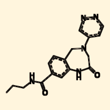 CCCNC(=O)c1ccc2c(c1)NC(=O)CN(c1ccnnc1)C2